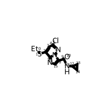 CCSc1cc(Cl)nn2c(C(=O)NC3CC3)cnc12